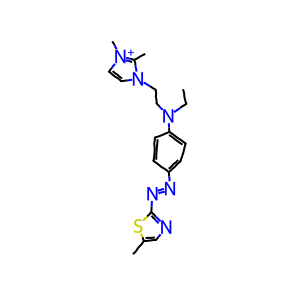 CCN(CCn1cc[n+](C)c1C)c1ccc(N=Nc2ncc(C)s2)cc1